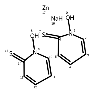 On1ccccc1=S.On1ccccc1=S.[NaH].[Zn]